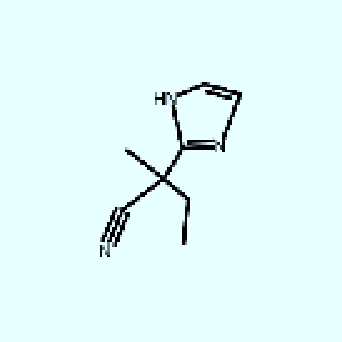 CCC(C)(C#N)c1ncc[nH]1